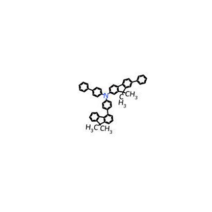 CC1(C)c2cc(-c3ccccc3)ccc2-c2ccc(N(c3ccc(-c4ccccc4)cc3)c3ccc(-c4cccc5c4-c4ccccc4C5(C)C)cc3)cc21